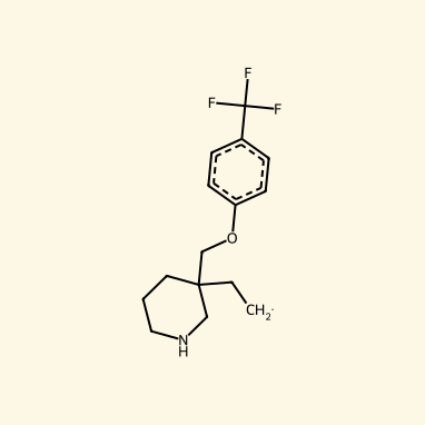 [CH2]CC1(COc2ccc(C(F)(F)F)cc2)CCCNC1